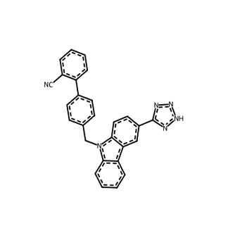 N#Cc1ccccc1-c1ccc(Cn2c3ccccc3c3cc(-c4nn[nH]n4)ccc32)cc1